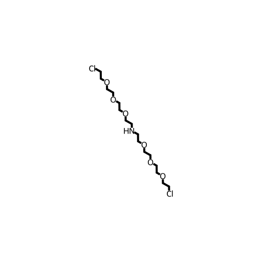 ClCCOCCOCCOCCNCCOCCOCCOCCCl